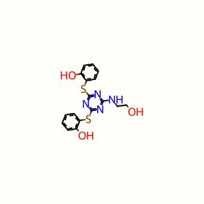 OCCNc1nc(Sc2ccccc2O)nc(Sc2ccccc2O)n1